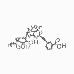 CNC(=O)[C@]12CC1[C@@H](n1cnc3c(NC)nc(C#Cc4cccc(C(=O)O)c4)nc31)C(O)[C@@H]2O